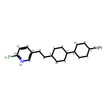 CCCC1CCC(C2CCC(CCc3ccc(F)nc3)CC2)CC1